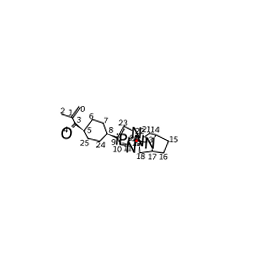 C=C(C)C(=O)[C@H]1CC[C@@H](c2cnc(N3C4CCC3CN(C(C)C)C4)nc2)CC1